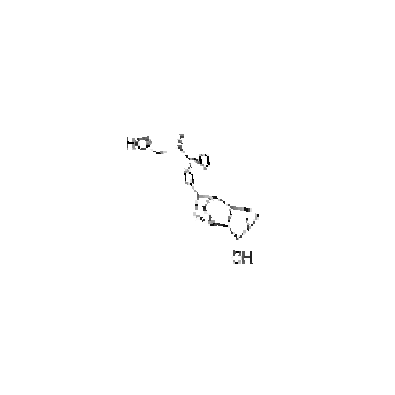 C=C(CO)C(=O)OC1CC2CC1C1C3CC3C(O)C21